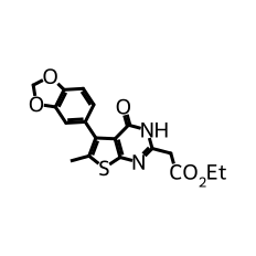 CCOC(=O)Cc1nc2sc(C)c(-c3ccc4c(c3)OCO4)c2c(=O)[nH]1